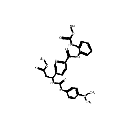 CN(C)c1ccc(NC(=O)NC(CC(=O)OC(C)(C)C)c2ccc(C(=O)Nc3ccccc3NC(=O)OC(C)(C)C)nc2)cc1